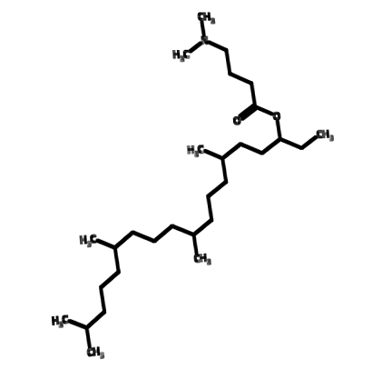 CCC(CCC(C)CCCC(C)CCCC(C)CCCC(C)C)OC(=O)CCCN(C)C